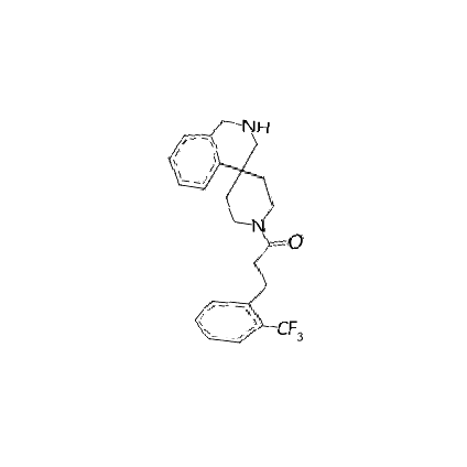 O=C(CCc1ccccc1C(F)(F)F)N1CCC2(CC1)CNCc1ccccc12